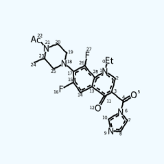 CCn1cc(C(=O)n2ccnc2)c(=O)c2cc(F)c(N3CCN(C(C)=O)C(C)C3)c(F)c21